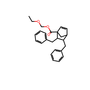 CCOCOC(=O)C12C=CC(C1)C(Cc1ccccc1)C2Cc1ccccc1